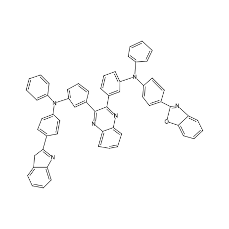 c1ccc(N(c2ccc(C3=Nc4ccccc4C3)cc2)c2cccc(-c3nc4ccccc4nc3-c3cccc(N(c4ccccc4)c4ccc(-c5nc6ccccc6o5)cc4)c3)c2)cc1